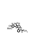 C=CC(=O)Nc1ccccc1C1CCNc2c(C(N)=O)c(-c3ccc(Cl)c(OC)c3)nn21